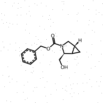 O=C(OCc1ccccc1)N1C[C@@H]2CC2[C@H]1CO